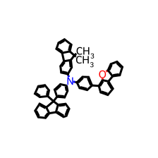 CC1(C)c2ccccc2-c2ccc(N(c3ccc(-c4cccc5c4oc4ccccc45)cc3)c3ccc(C4(c5ccccc5)c5ccccc5-c5ccccc54)cc3)cc21